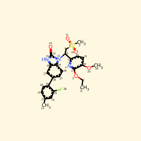 CCOc1nc(C(CS(C)(=O)=O)n2c(=O)[nH]c3cc(-c4ccc(C)cc4F)ccc32)ccc1OC